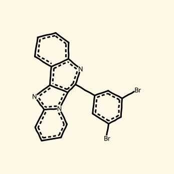 Brc1cc(Br)cc(-c2nc3ccccc3c3nc4ccccn4c23)c1